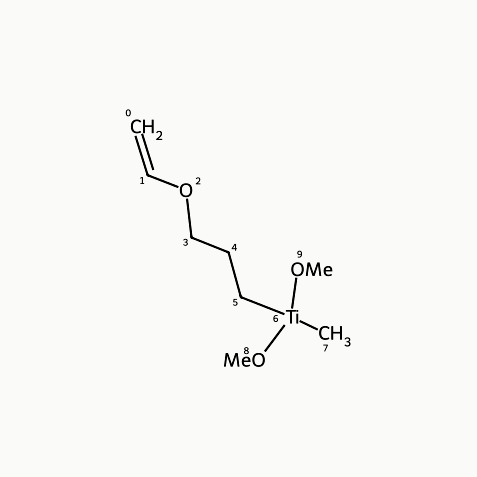 C=COCC[CH2][Ti]([CH3])([O]C)[O]C